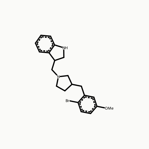 COc1ccc(Br)c(CC2CCN(CC3CNc4ccccc43)C2)c1